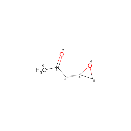 CC(=O)C[C@H]1CO1